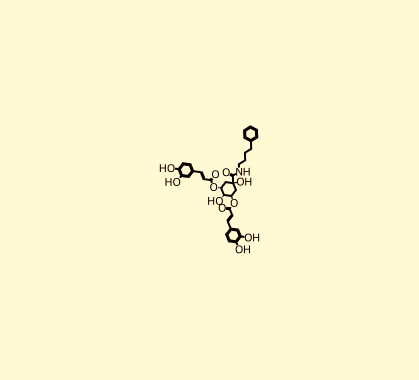 O=C(C=Cc1ccc(O)c(O)c1)O[C@@H]1C[C@@](O)(C(=O)NCCCCc2ccccc2)C[C@@H](OC(=O)/C=C/c2ccc(O)c(O)c2)[C@H]1O